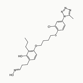 CCCc1c(OCCCCSc2ccc(-n3nnnc3C)cc2Cl)ccc(CCC=NO)c1O